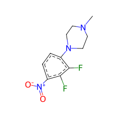 CN1CCN(c2ccc([N+](=O)[O-])c(F)c2F)CC1